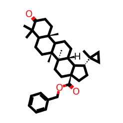 CC1(C)C(=O)CC[C@@]2(C)C1CC[C@]1(C)C2CC[C@@H]2C3[C@H](C4(C)CC4)CC[C@]3(C(=O)OCc3ccccc3)CC[C@]21C